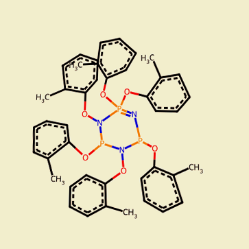 Cc1ccccc1ON1P(Oc2ccccc2C)N=P(Oc2ccccc2C)(Oc2ccccc2C)N(Oc2ccccc2C)P1Oc1ccccc1C